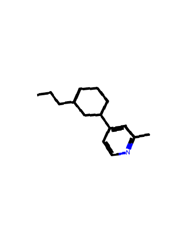 CCCC1CCCC(c2ccnc(C)c2)C1